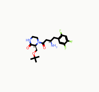 CC(C)(C)OC[C@H]1C(=O)NCCN1C(=O)C[C@H](N)Cc1cc(F)c(F)cc1F